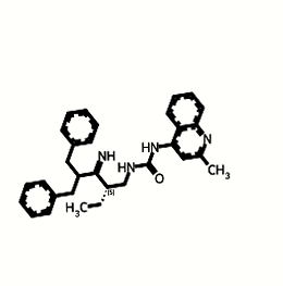 CC[C@@H](CNC(=O)Nc1cc(C)nc2ccccc12)C(=N)C(Cc1ccccc1)Cc1ccccc1